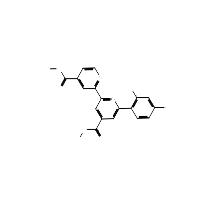 COC(=O)c1ccnc(-c2cc(C(=O)OC)cc(-c3ccc(F)cc3F)n2)c1